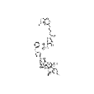 C[C@H](NC(=O)CCCCC(=O)ON1C(=O)CCC1=O)C(=O)N[C@@H](C)C(=O)Nc1cccc(Cc2ccc([C@@H]3O[C@@H]4CC5[C@@H]6C[C@H](F)C7=CC(=O)C=C[C@]7(C)[C@@]6(F)[C@@H](O)C[C@]5(C)[C@]4(C(=O)CO)O3)cc2)c1